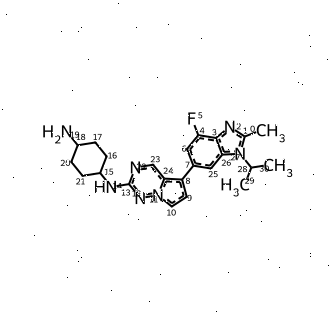 Cc1nc2c(F)cc(-c3ccn4nc(NC5CCC(N)CC5)ncc34)cc2n1C(C)C